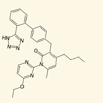 CCCCc1cc(C)n(-c2nccc(OCC)n2)c(=O)c1Cc1ccc(-c2ccccc2-c2nnn[nH]2)cc1